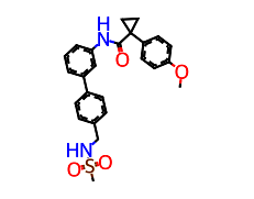 COc1ccc(C2(C(=O)Nc3cccc(-c4ccc(CNS(C)(=O)=O)cc4)c3)CC2)cc1